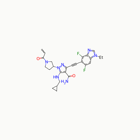 C=CC(=O)N1CCC(n2nc(C#Cc3c(F)cc4c(ncn4CC)c3F)c(C(N)=O)c2NCC2CC2)C1